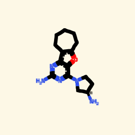 Nc1nc(N2CC[C@@H](N)C2)c2oc3c(c2n1)CCCCC3